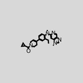 CCc1cc(C2=CCN(C(=O)C3CC3)CC2)ccc1N(C)c1cc2c(cn1)ncn2C